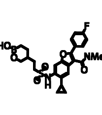 CNC(=O)c1c(-c2ccc(F)cc2)oc2cc(NS(=O)(=O)CCC3CCB(O)OC3)c(C3CC3)cc12